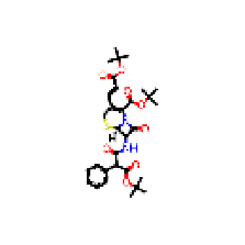 CC(C)(C)OC(=O)C=CC1=C(C(=O)OC(C)(C)C)N2C(=O)C(NC(=O)C(C(=O)OC(C)(C)C)c3ccccc3)[C@@H]2SC1